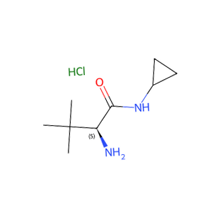 CC(C)(C)[C@H](N)C(=O)NC1CC1.Cl